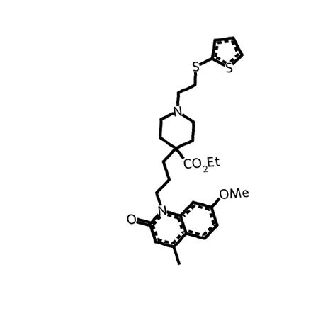 CCOC(=O)C1(CCCn2c(=O)cc(C)c3ccc(OC)cc32)CCN(CCSc2cccs2)CC1